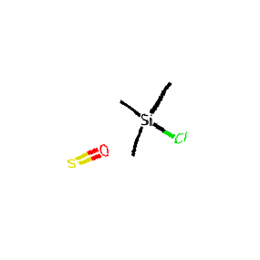 C[Si](C)(C)Cl.O=S